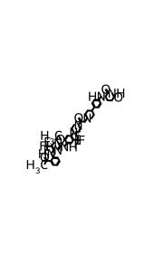 COc1cc(N2CCN(C(=O)CN3CCC(c4ccc(NC5CCC(=O)NC5=O)cc4)CC3)CC2)c(C(F)(F)F)cc1Nc1ncc(C(F)(F)F)c(Nc2ccccc2C(C)=O)n1